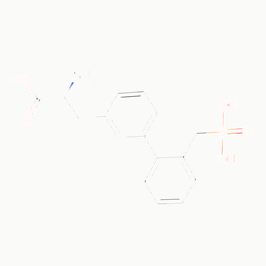 N[C@@H](Cc1cccc(-c2ccccc2CP(=O)(O)O)c1)C(=O)O